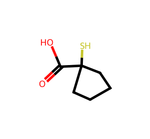 O=C(O)C1(S)CCCC1